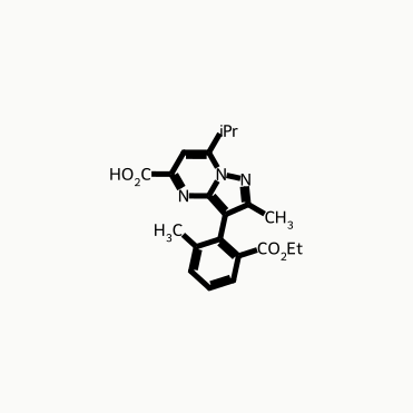 CCOC(=O)c1cccc(C)c1-c1c(C)nn2c(C(C)C)cc(C(=O)O)nc12